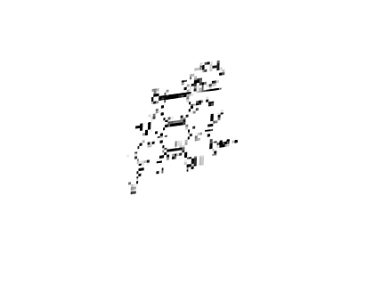 COC(=O)[C@H]1C2=C(CCC34C(=O)CC[C@]3(C)CC=C24)C2(C)CCC(=O)C=C2[C@@H]1O